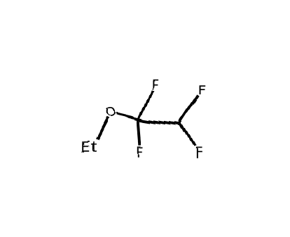 [CH2]COC(F)(F)C(F)F